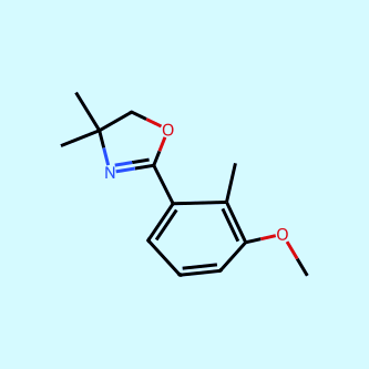 COc1cccc(C2=NC(C)(C)CO2)c1C